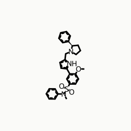 COc1ccc(S(=O)(=O)N(C)c2ccccc2)cc1-c1ccc(CN2CCC[C@@H]2c2ccccc2)[nH]1